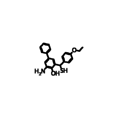 CCOc1ccc(C(S)c2cc(-c3ccccc3)cc(N)c2O)cc1